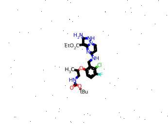 CCOC(=O)C1=C2N=C(NCc3c(OC(C)CNC(=O)OC(C)(C)C)ccc(F)c3Cl)C=CN2NC1N